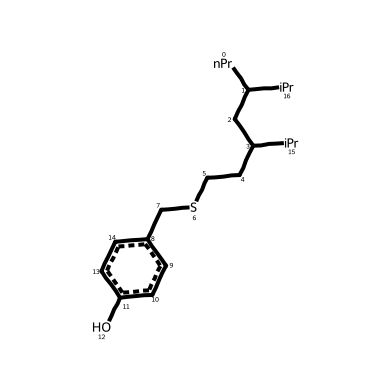 CCCC(CC(CCSCc1ccc(O)cc1)C(C)C)C(C)C